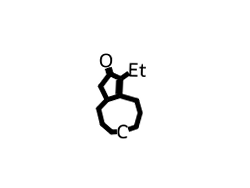 CCC1=C2CCCCCCCC2CC1=O